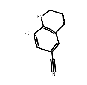 Cl.N#Cc1ccc2c(c1)CCCN2